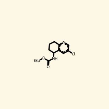 CC(C)(C)OC(=O)NC1CCCc2ncc(Cl)cc21